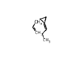 C=CC.CCC=C1CC1